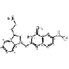 C=C1NC(CN2CC(CCN)c3ccccc32)=Nc2ccc(OC)cc21